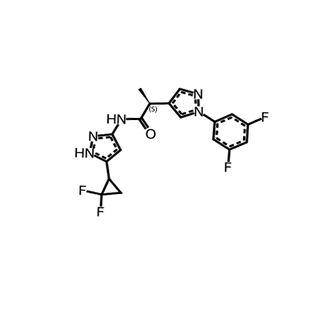 C[C@H](C(=O)Nc1cc(C2CC2(F)F)[nH]n1)c1cnn(-c2cc(F)cc(F)c2)c1